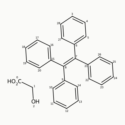 O=C(O)CO.c1ccc(C(=C(c2ccccc2)c2ccccc2)c2ccccc2)cc1